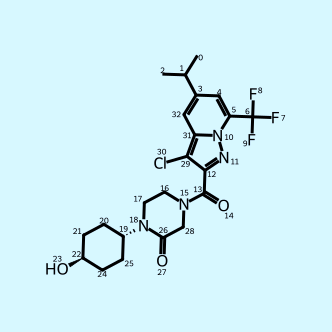 CC(C)c1cc(C(F)(F)F)n2nc(C(=O)N3CCN([C@H]4CC[C@H](O)CC4)C(=O)C3)c(Cl)c2c1